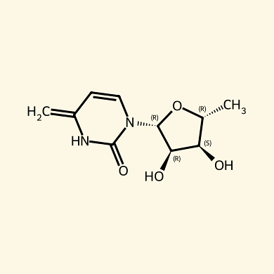 C=C1C=CN([C@@H]2O[C@H](C)[C@@H](O)[C@H]2O)C(=O)N1